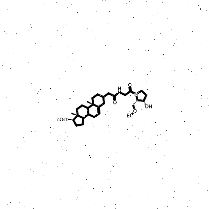 CCCCCCCC[C@@H]1CCC2C3CC=C4CC(CC(=O)NCC(=O)N5CC[C@H](O)[C@@H]5COCC)CC[C@@]4(C)C3CC[C@]21C